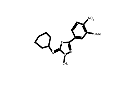 COc1cc(-c2nn(C)/c(=N/C3CCCCC3)s2)ccc1[N+](=O)[O-]